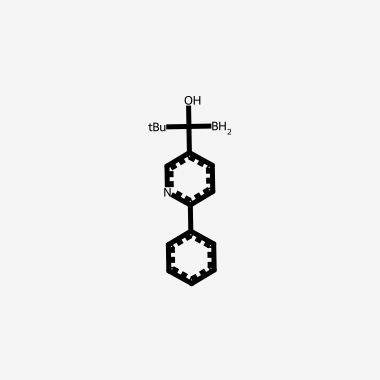 BC(O)(c1ccc(-c2ccccc2)nc1)C(C)(C)C